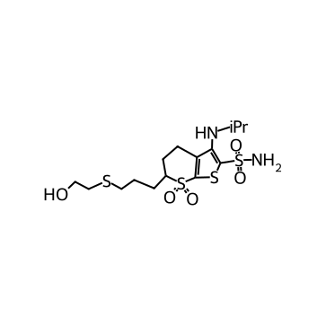 CC(C)Nc1c(S(N)(=O)=O)sc2c1CCC(CCCSCCO)S2(=O)=O